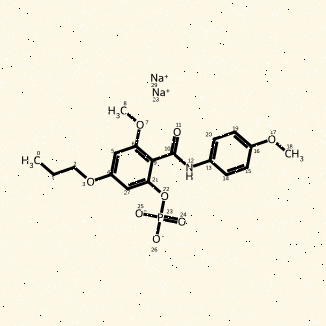 CCCOc1cc(OC)c(C(=O)Nc2ccc(OC)cc2)c(OP(=O)([O-])[O-])c1.[Na+].[Na+]